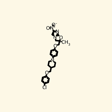 C[C@@]1(COc2ccc(N3CCC(COc4ccc(Cl)cc4)CC3)cc2)Cn2cc([N+](=O)[O-])nc2O1